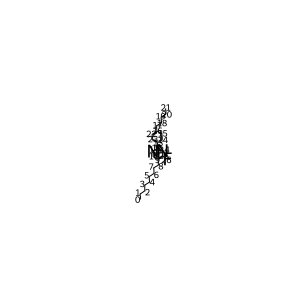 CCCCCCCCCc1cnc(-c2ccc(CCCCC)cc2)nc1F